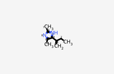 C=C(CC)c1[nH]c(C)nc1C